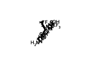 Nc1ccc(S(=O)(=O)N2CCN(c3ncc(C(O)(C(F)(F)F)C(F)(F)F)cn3)C(C#CC3CC3)C2)cn1